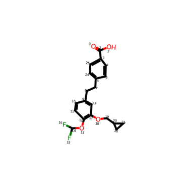 O=C(O)c1ccc(CCc2ccc(OC(F)F)c(OCC3CC3)c2)cc1